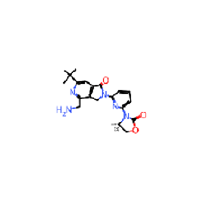 C[C@H]1COC(=O)N1c1cccc(N2Cc3c(cc(C(C)(C)C)nc3CN)C2=O)n1